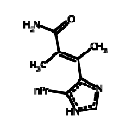 CCCc1[nH]cnc1C(C)=C(C)C(N)=O